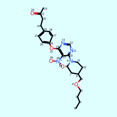 CCCCOCC1CCN(c2ncnc(Oc3ccc(CCC(C)=O)cc3)c2[N+](=O)[O-])CC1